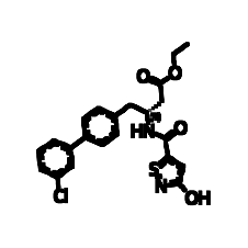 CCOC(=O)C[C@@H](Cc1ccc(-c2cccc(Cl)c2)cc1)NC(=O)c1cc(O)ns1